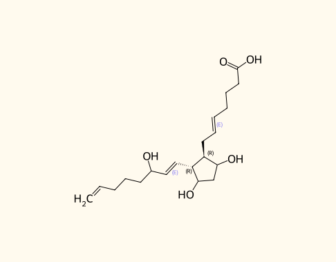 C=CCCCC(O)/C=C/[C@H]1C(O)CC(O)[C@@H]1C/C=C/CCCC(=O)O